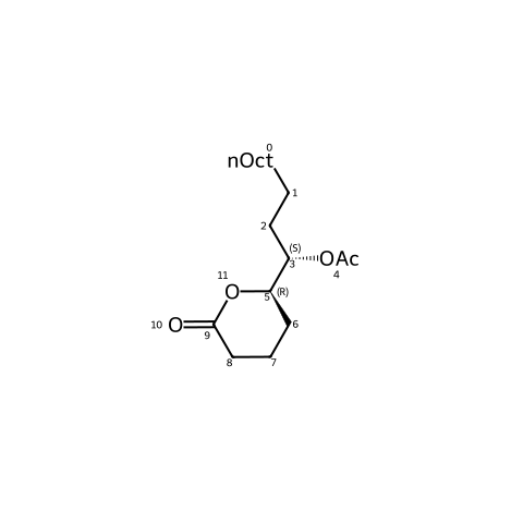 CCCCCCCCCC[C@H](OC(C)=O)[C@H]1CCCC(=O)O1